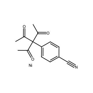 CC(=O)C(C(C)=O)(C(C)=O)c1ccc(C#N)cc1.[Ni]